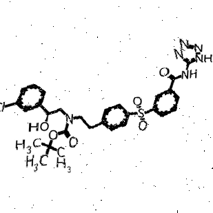 CC(C)(C)OC(=O)N(CCc1ccc(S(=O)(=O)c2cccc(C(=O)Nc3nnn[nH]3)c2)cc1)C[C@@H](O)c1cccc(Cl)c1